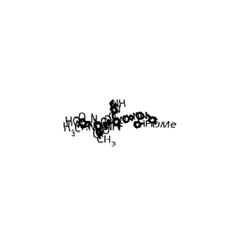 COc1ccc(CN2CCN(C3CC4(CCN(c5cc(Oc6cnc7[nH]ccc7c6)c(C(=O)NS(=O)(=O)c6cc([N+](=O)[O-])c(NCC7CCC(C)(O)CC7)c7oc(C)cc67)cc5F)CC4)C3)[C@H](c3ccccc3C(C)C)C2)cc1